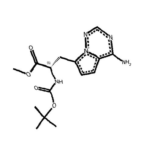 COC(=O)[C@H](Cc1ccc2c(N)ncnn12)NC(=O)OC(C)(C)C